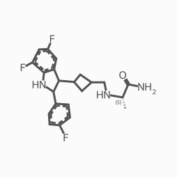 C[C@H](NCC1CC(C2c3cc(F)cc(F)c3NC2c2ccc(F)cc2)C1)C(N)=O